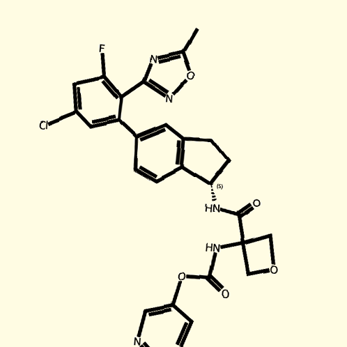 Cc1nc(-c2c(F)cc(Cl)cc2-c2ccc3c(c2)CC[C@@H]3NC(=O)C2(NC(=O)Oc3cncnc3)COC2)no1